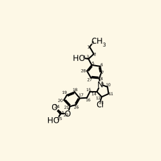 CCCC(O)c1ccc(N2CCC(Cl)C2CCc2cccc(OC(=O)O)c2)cc1